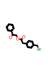 O=C(Cc1ccc(CBr)cc1)OCC(=O)c1ccccc1